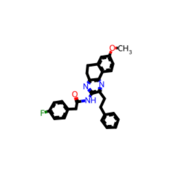 COc1ccc2c(c1)CCc1nc(NC(=O)Cc3ccc(F)cc3)c(CCc3ccccc3)nc1-2